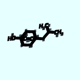 CC(C)CC12CCC(O)(CC1)CC2